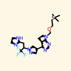 C[Si](C)(C)CCOCn1ccc2c(-c3cnn(C(Cc4ncc[nH]4)C(F)(F)F)c3)ncnc21